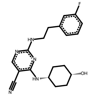 N#Cc1cnc(NCCc2cccc(F)c2)nc1N[C@H]1CC[C@@H](O)CC1